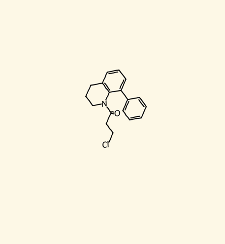 O=C(CCCl)N1CCCc2cccc(-c3ccccc3)c21